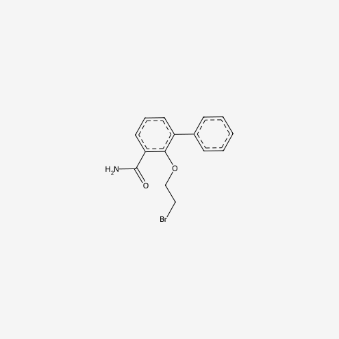 NC(=O)c1cccc(-c2ccccc2)c1OCCBr